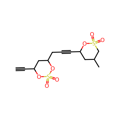 C#CC1CC(CC#CC2CC(C)CS(=O)(=O)O2)OS(=O)(=O)O1